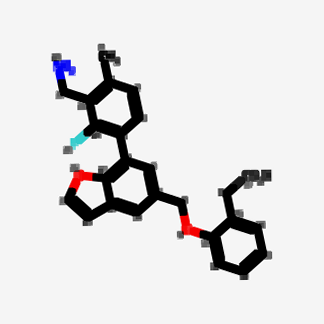 Cc1ccc(-c2cc(COc3ccccc3CC(=O)O)cc3ccoc23)c(F)c1CN